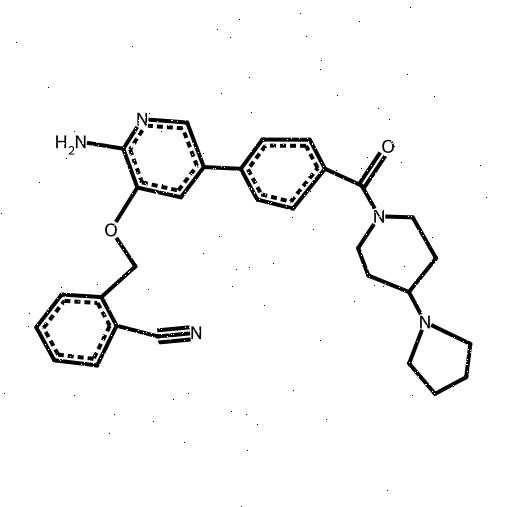 N#Cc1ccccc1COc1cc(-c2ccc(C(=O)N3CCC(N4CCCC4)CC3)cc2)cnc1N